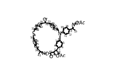 CC(=O)ON=C1c2ccc(cc2)N(c2ccc(/C(C)=N/OC(C)=O)cc2)c2ccc(cc2)C(=O)c2ccc(cc2)Sc2ccc(cc2)C(C)=NOC(=O)C1C